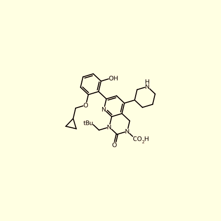 CC(C)(C)CN1C(=O)N(C(=O)O)Cc2c(C3CCCNC3)cc(-c3c(O)cccc3OCC3CC3)nc21